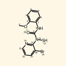 COc1ccccc1NC(=O)N(S)c1ncccc1Br